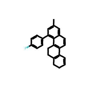 Cc1cc(-c2ccc(F)cc2)c2c3c(ccc2c1)C1=C(CCC=C1)CC3